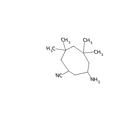 CC1(C)CC(N)CC(C#N)CC(C)(C)C1